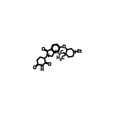 CCN1CCC(C)(C)C(Oc2ccc3c(c2)CN(C2CCC(=O)NC2=O)C3=O)C1